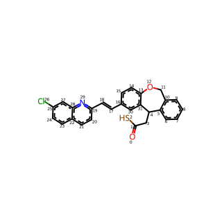 O=C(S)CC1c2ccccc2COc2ccc(/C=C/c3ccc4ccc(Cl)cc4n3)cc21